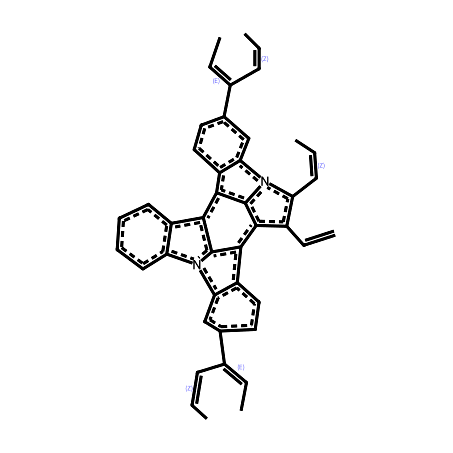 C=Cc1c(/C=C\C)n2c3cc(C(/C=C\C)=C/C)ccc3c3c4c5ccccc5n5c6cc(C(/C=C\C)=C/C)ccc6c(c1c32)c45